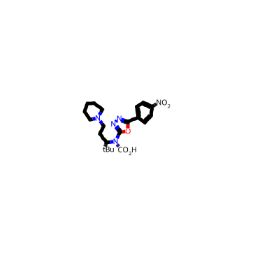 CC(C)(C)C(CCN1CCCCC1)N(C(=O)O)c1nnc(-c2ccc([N+](=O)[O-])cc2)o1